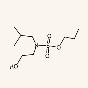 CCCOS(=O)(=O)N(CCO)CC(C)C